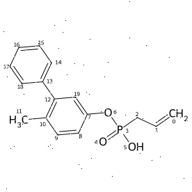 C=CCP(=O)(O)Oc1ccc(C)c(-c2ccccc2)c1